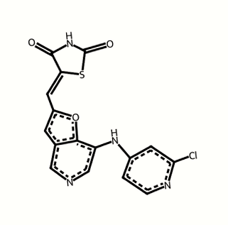 O=C1NC(=O)C(=Cc2cc3cncc(Nc4ccnc(Cl)c4)c3o2)S1